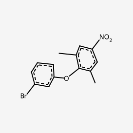 Cc1cc([N+](=O)[O-])cc(C)c1Oc1cccc(Br)c1